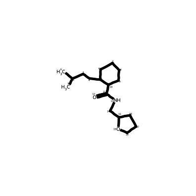 CC(C)CCC1CCCCC1C(=O)NCC1CCCO1